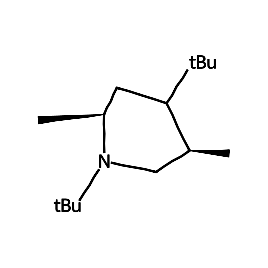 C[C@H]1CN(C(C)(C)C)[C@@H](C)CC1C(C)(C)C